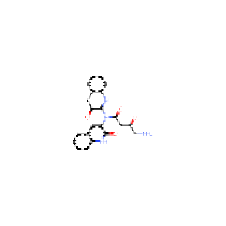 NCC(=O)CC(=O)N(C1=Nc2ccccc2CC1=O)c1cc2ccccc2[nH]c1=O